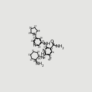 NC(=O)c1cc(F)c(N[C@@H]2CCCC[C@@H]2N)nc1Nc1cncc(N2CCCC2)c1